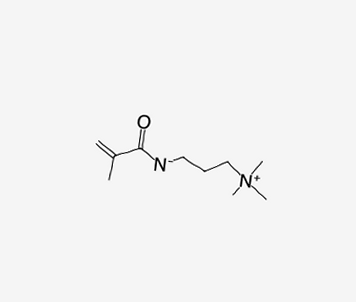 C=C(C)C(=O)[N-]CCC[N+](C)(C)C